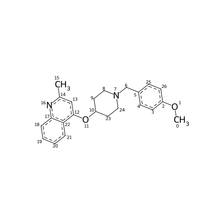 COc1ccc(CN2CCC(Oc3cc(C)nc4ccccc34)CC2)cc1